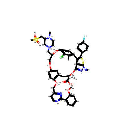 C=Nc1sc(-c2ccc(F)cc2)c2c1/C(=N\C)O[C@@H](C(=O)O)Cc1cc(ccc1OCc1ccnc(-c3ccccc3OC)n1)OCC(CN1CCN(C)C(CS(C)(=O)=O)C1)Oc1ccc-2c(C)c1Cl